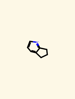 C1=C[N+]=C2CCCC2=C1